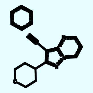 C#Cc1c(C2CCOCC2)nn2cccnc12.c1ccccc1